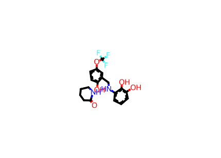 O=C1CCCCN1.Oc1ccc(OC(F)(F)F)cc1CNc1cccc(O)c1O